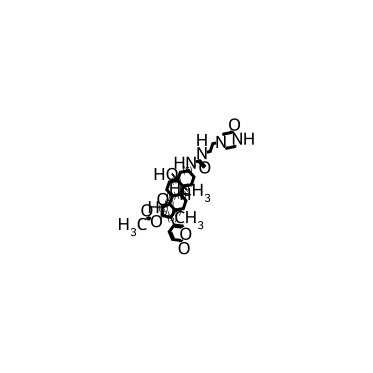 CC(=O)O[C@H]1[C@H]2O[C@]23[C@@H]2CC[C@]4(O)C[C@@H](NC(=O)NCCN5CCNC(=O)C5)CC[C@]4(C)[C@H]2CC[C@]3(C)[C@H]1c1ccc(=O)oc1